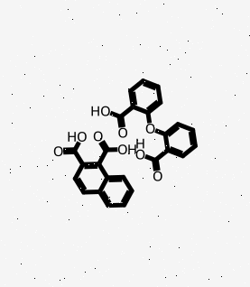 O=C(O)c1ccc2ccccc2c1C(=O)O.O=C(O)c1ccccc1Oc1ccccc1C(=O)O